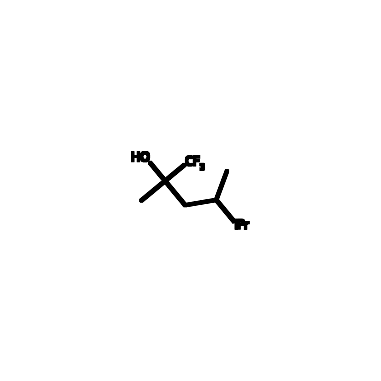 CC(C)C(C)CC(C)(O)C(F)(F)F